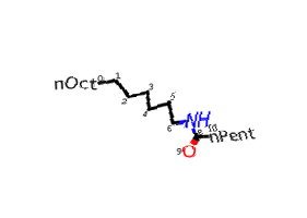 CCCCCCCCCCCCCCNC(=O)CCCCC